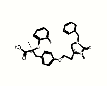 CN1C(=O)N(Cc2ccccc2)C[C@@H]1CCOc1ccc(C[C@](C)(Oc2ccccc2F)C(=O)O)cc1